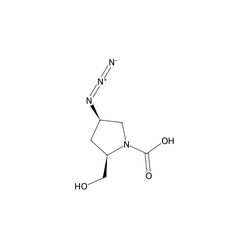 [N-]=[N+]=N[C@@H]1C[C@H](CO)N(C(=O)O)C1